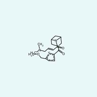 COCc1ccc(C(=O)N2CC3CC(C2)N3C(=O)/C=C/CN(C)C)s1